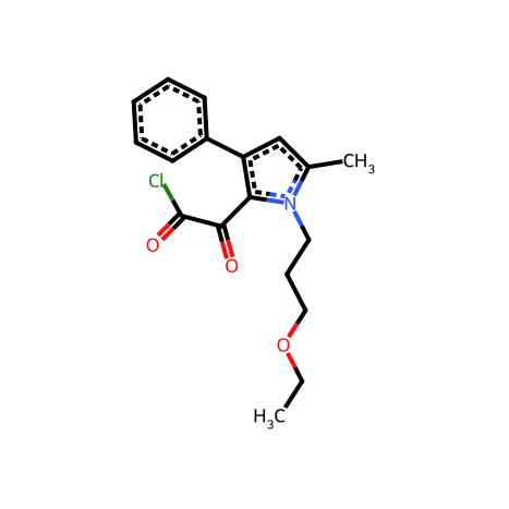 CCOCCCn1c(C)cc(-c2ccccc2)c1C(=O)C(=O)Cl